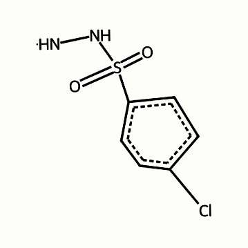 [NH]NS(=O)(=O)c1ccc(Cl)cc1